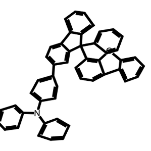 c1ccc(N(c2ccccc2)c2ccc(-c3ccc4c(c3)C(c3ccccc3)(c3cccc5c3oc3ccccc35)c3ccccc3-4)cc2)cc1